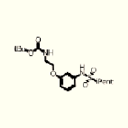 CCCC(C)S(=O)(=O)Nc1cccc(OCCNC(=O)OC(C)(C)C)c1